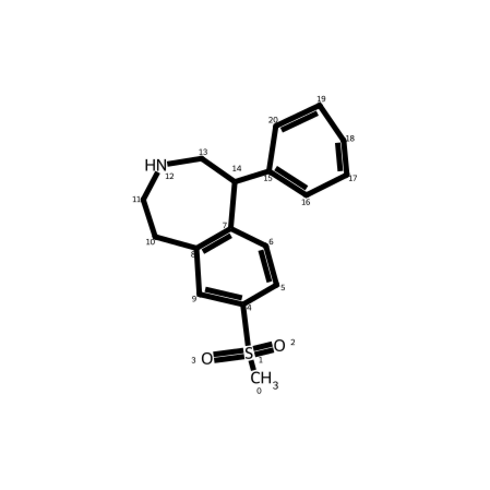 CS(=O)(=O)c1ccc2c(c1)CCNCC2c1ccccc1